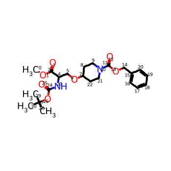 COC(=O)C(COC1CCN(C(=O)OCc2ccccc2)CC1)NC(=O)OC(C)(C)C